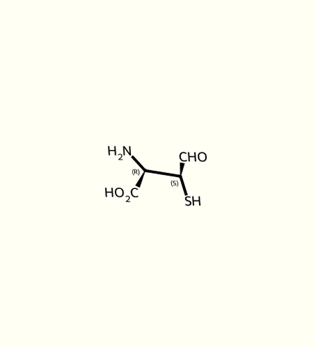 N[C@H](C(=O)O)[C@H](S)C=O